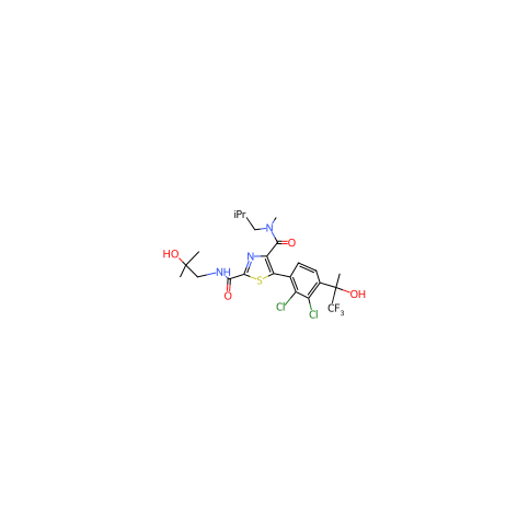 CC(C)CN(C)C(=O)c1nc(C(=O)NCC(C)(C)O)sc1-c1ccc(C(C)(O)C(F)(F)F)c(Cl)c1Cl